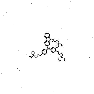 C=CC(=O)OCCc1ccc(N(c2ccc(CCOC(=O)C=C)cc2)c2ccc3c(c2)[C@@H](CCOC(=O)C=C)c2ccccc2-3)cc1